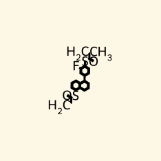 C=CC(=O)Sc1cccc2c(-c3ccc(SC(=O)C(=C)C)c(F)c3)cccc12